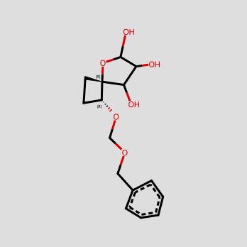 OC1O[C@]2(CC[C@H]2OCOCc2ccccc2)C(O)C1O